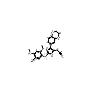 COc1cc(OC)c(Nc2nc(-c3ccc4c(c3)OCCO4)c(CC#N)s2)cc1Cl